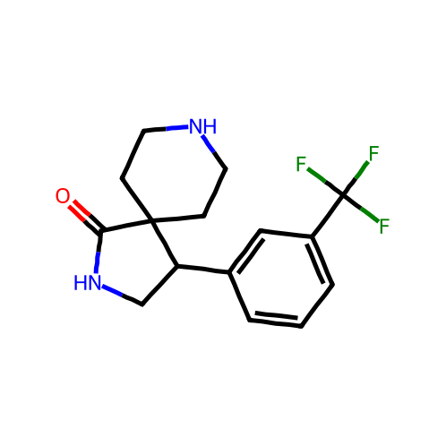 O=C1NCC(c2cccc(C(F)(F)F)c2)C12CCNCC2